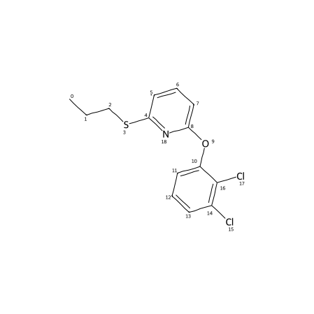 CCCSc1[c]ccc(Oc2cccc(Cl)c2Cl)n1